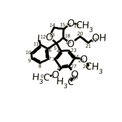 COc1cc(C2(c3ccccc3I)OCC(OC)C2OCCO)cc(OC)c1OC